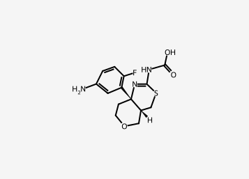 Nc1ccc(F)c([C@]23CCOC[C@H]2CSC(NC(=O)O)=N3)c1